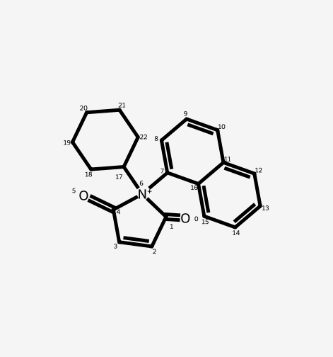 O=C1C=CC(=O)[N+]1(c1cccc2ccccc12)C1CCCCC1